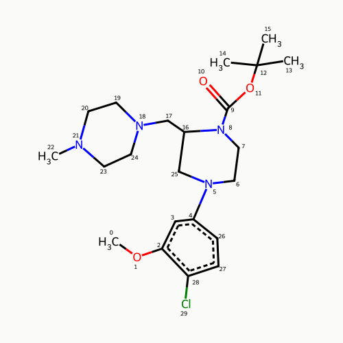 COc1cc(N2CCN(C(=O)OC(C)(C)C)C(CN3CCN(C)CC3)C2)ccc1Cl